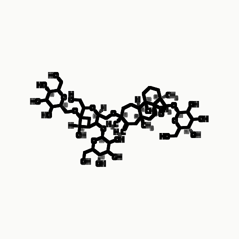 C=C1C[C@@]2(C)CCC3(C)[C@](C)(C(=O)O[C@@H]4OC(CO)[C@@H](O)C(O)C4O)CCC[C@@]3(C)[C@@H]2CC[C@@]1(C)OC[C@@H]1OC(CO)C2(OC[C@@H]3OC(CO)[C@H](O)C(O)C3O)CC(C1O[C@@H]1OC(CO)[C@@H](O)C(O)C1O)[C@@H]2O